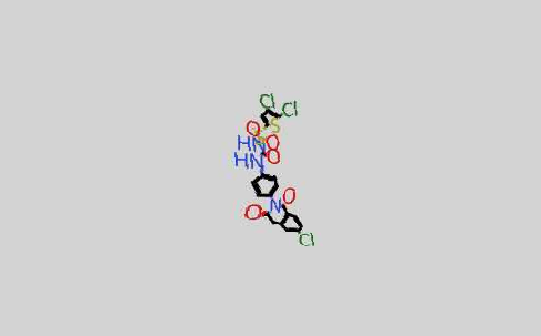 O=C(Nc1ccc(N2C(=O)Cc3cc(Cl)ccc3C2=O)cc1)NS(=O)(=O)c1cc(Cl)c(Cl)s1